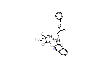 CC(C)(C)C(=O)SC/C(=C/c1ccccc1)C(=O)NCCC(=O)OCc1ccccc1